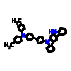 Cc1ccc(N(c2ccc(C)cc2)c2ccc(-c3ccc(-n4c5ccccc5c5cc6c(cc54)[nH]c4ccccc46)cc3)cc2)cc1